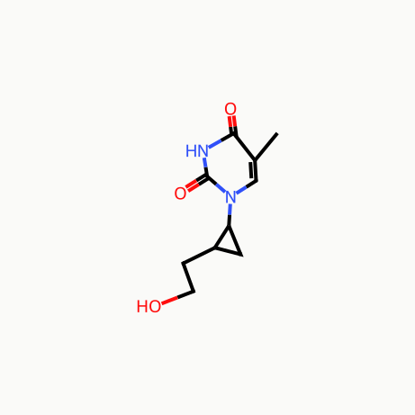 Cc1cn(C2CC2CCO)c(=O)[nH]c1=O